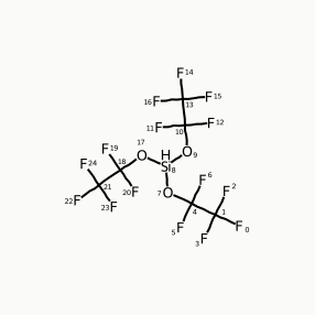 FC(F)(F)C(F)(F)O[SiH](OC(F)(F)C(F)(F)F)OC(F)(F)C(F)(F)F